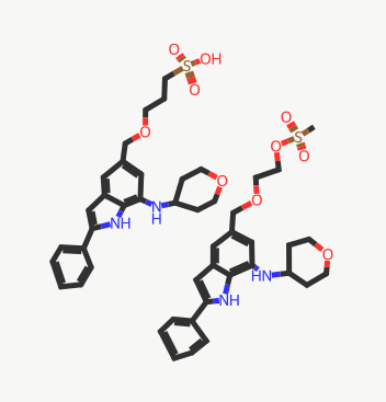 CS(=O)(=O)OCCOCc1cc(NC2CCOCC2)c2[nH]c(-c3ccccc3)cc2c1.O=S(=O)(O)CCCOCc1cc(NC2CCOCC2)c2[nH]c(-c3ccccc3)cc2c1